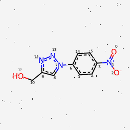 O=[N+]([O-])c1ccc(-n2cc(CO)nn2)cc1